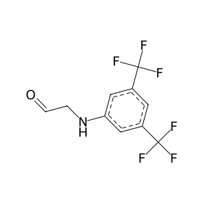 O=CCNc1cc(C(F)(F)F)cc(C(F)(F)F)c1